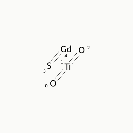 [O]=[Ti]=[O].[S]=[Gd]